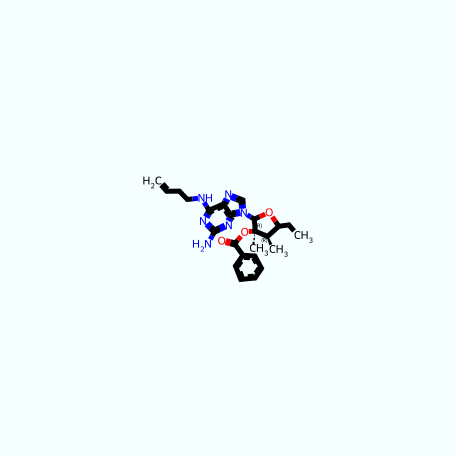 C=CCCNc1nc(N)nc2c1ncn2C1OC(CC)[C@@H](C)[C@@]1(C)OC(=O)c1ccccc1